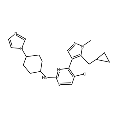 Cn1ncc(-c2nc(NC3CCC(n4ccnc4)CC3)ncc2Cl)c1CC1CC1